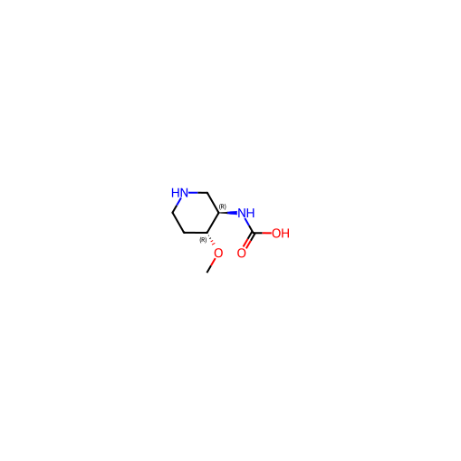 CO[C@@H]1CCNC[C@H]1NC(=O)O